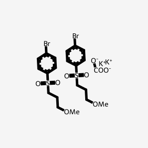 COCCCS(=O)(=O)c1ccc(Br)cc1.COCCCS(=O)(=O)c1ccc(Br)cc1.O=C([O-])[O-].[K+].[K+]